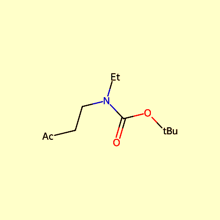 CCN(CCC(C)=O)C(=O)OC(C)(C)C